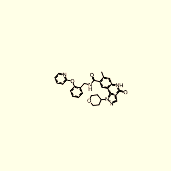 Cc1cc2[nH]c(=O)c3cnn(C4CCOCC4)c3c2cc1C(=O)NCc1ccccc1Oc1ccccn1